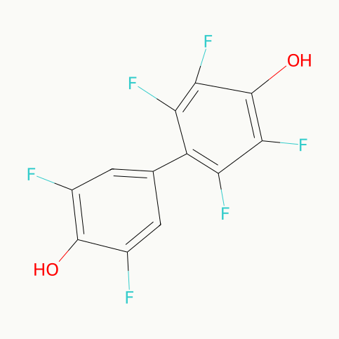 Oc1c(F)cc(-c2c(F)c(F)c(O)c(F)c2F)cc1F